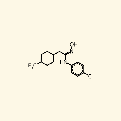 O/N=C(\CC1CCC(C(F)(F)F)CC1)Nc1ccc(Cl)cc1